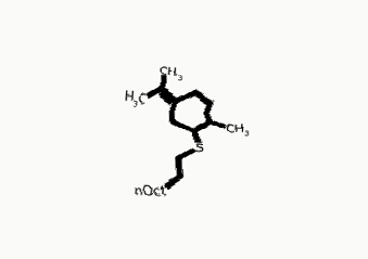 CCCCCCCCCCSC1CC(=C(C)C)CCC1C